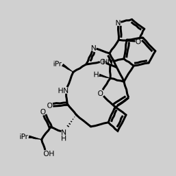 CC(C)[C@H](O)C(=O)N[C@H]1Cc2ccc3c(c2)C2(c4ccccc4N[C@H]2O3)c2oc(nc2-c2ncco2)[C@H](C(C)C)NC1=O